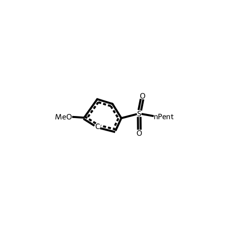 CCCCCS(=O)(=O)c1ccc(OC)cc1